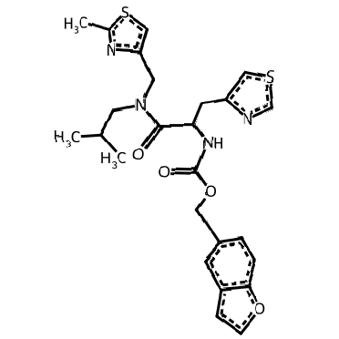 Cc1nc(CN(CC(C)C)C(=O)C(Cc2cscn2)NC(=O)OCc2ccc3occc3c2)cs1